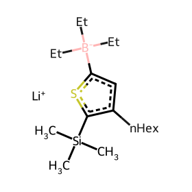 CCCCCCc1cc([B-](CC)(CC)CC)sc1[Si](C)(C)C.[Li+]